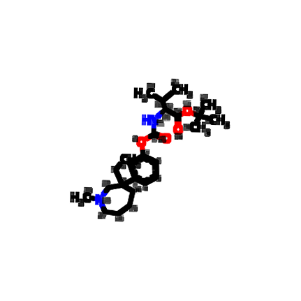 CCC1(c2cccc(OC(=O)N[C@H](C(=O)OC(C)(C)C)C(C)C)c2)CCCCN(C)C1